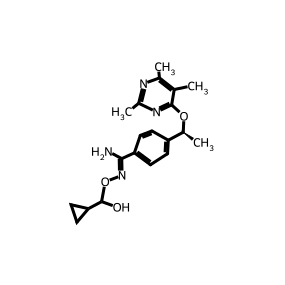 Cc1nc(C)c(C)c(O[C@@H](C)c2ccc(/C(N)=N/OC(O)C3CC3)cc2)n1